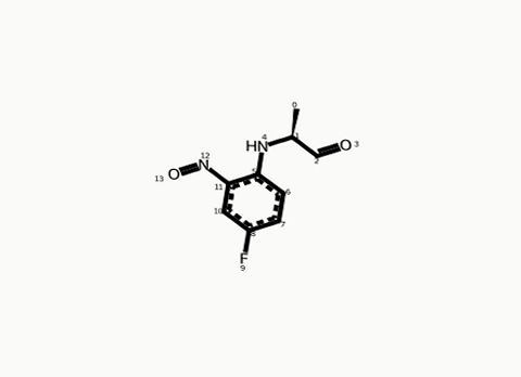 C[C@@H](C=O)Nc1ccc(F)cc1N=O